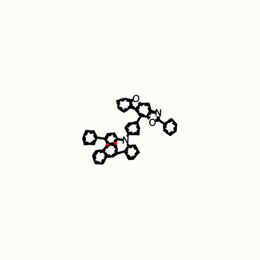 c1ccc(-c2ccc(N(c3ccc(-c4c5oc(-c6ccccc6)nc5cc5oc6ccccc6c45)cc3)c3ccccc3-c3ccc4ccccc4c3)cc2)cc1